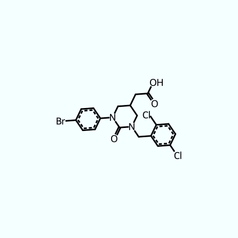 O=C(O)CC1CN(Cc2cc(Cl)ccc2Cl)C(=O)N(c2ccc(Br)cc2)C1